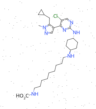 Cn1ncc(-c2nc(N[C@H]3CC[C@H](NCCCCCCCCCNC(=O)O)CC3)ncc2Cl)c1CC1CC1